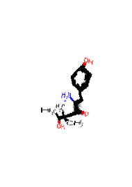 CC(O)C(C)(C)C(=O)[C@@H](N)Cc1ccc(O)cc1